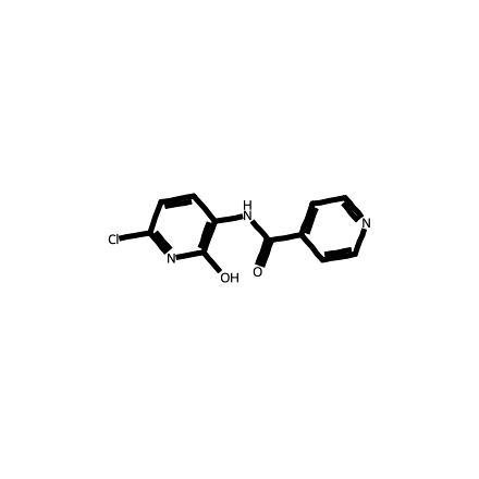 O=C(Nc1ccc(Cl)nc1O)c1ccncc1